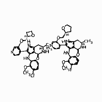 COc1c(Cl)cccc1Nc1c(-c2ccncc2OC[C@@H]2CCO2)[nH]c2c1C(=O)N[C@H](C)C2.COc1c(F)cccc1Nc1c(-c2ccncc2OC[C@@H]2CCCO2)[nH]c2c1C(=O)N[C@H](C)C2